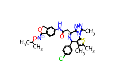 Cc1sc2c(c1C)C(c1ccc(Cl)cc1)=N[C@@H](CC(=O)Nc1ccc3c(c1)CO/C3=N\OC(C)C)c1nnc(C)n1-2